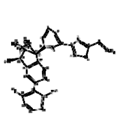 C=Cc1nc(-c2nccc([C@@]34CC[C@@H](c5cc(-c6c(F)cccc6F)nnc53)C4(C)C)n2)no1